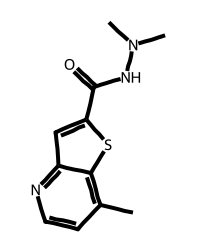 Cc1ccnc2cc(C(=O)NN(C)C)sc12